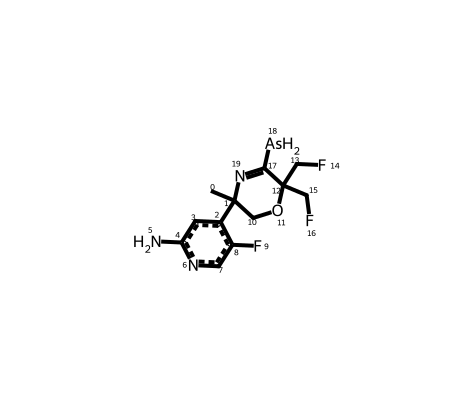 CC1(c2cc(N)ncc2F)COC(CF)(CF)C([AsH2])=N1